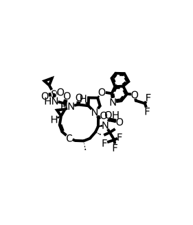 C[C@@H]1CC/C=C\[C@@H]2C[C@@]2(C(=O)NS(=O)(=O)C2CC2)NC(=O)[C@@H]2C[C@@H](Oc3ncc(OCC(F)F)c4ccccc34)CN2C(=O)[C@@H](N(C(=O)O)C(C)(C)C(F)(F)F)[C@H](C)C1